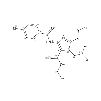 CCCc1nc(NC(=O)c2ccc(Cl)cc2)c(C(=O)OCC)n1CC(C)C